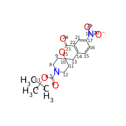 CC(C)(C)OC(=O)N1CCC2(CC1)Cc1ccc([N+](=O)[O-])cc1C(=O)O2